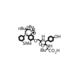 CCCCC1(CCCC)CN(c2ccccc2)c2cc(SC)c(OCC(=O)N[C@@H](C(=O)N[C@H](C(=O)O)C(C)CC)c3ccc(O)cc3)cc2S(=O)(=O)C1